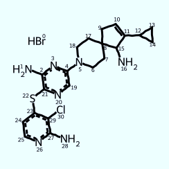 Br.Nc1nc(N2CCC3(CC=C(C4CC4)C3N)CC2)cnc1Sc1ccnc(N)c1Cl